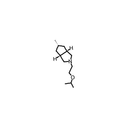 CC(C)OCCN1C[C@H]2C[C@@H](C)C[C@H]2C1